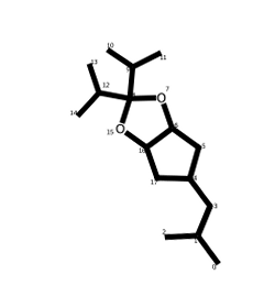 CC(C)CC1CC2OC(C(C)C)(C(C)C)OC2C1